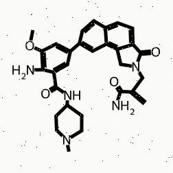 C=C(CN1Cc2c(ccc3ccc(-c4cc(OC)c(N)c(C(=O)NC5CCN(C)CC5)c4)cc23)C1=O)C(N)=O